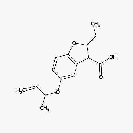 C=CC(C)Oc1ccc2c(c1)C(C(=O)O)C(CC)O2